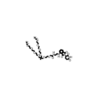 CC(COCCOCCOCCN=[N+]=[N-])(COCCOCCOCCN=[N+]=[N-])COCCOCC(=O)NCCNc1cccc2c1C(=O)N(C1CCC(=O)NC1=O)C2=O